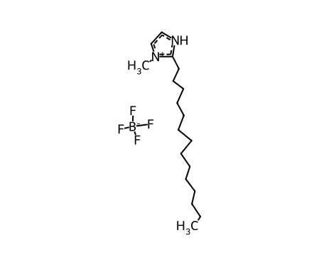 CCCCCCCCCCCCCCc1[nH]cc[n+]1C.F[B-](F)(F)F